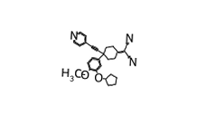 COc1ccc(C2(C#Cc3ccncc3)CCC(=C(C#N)C#N)CC2)cc1OC1CCCC1